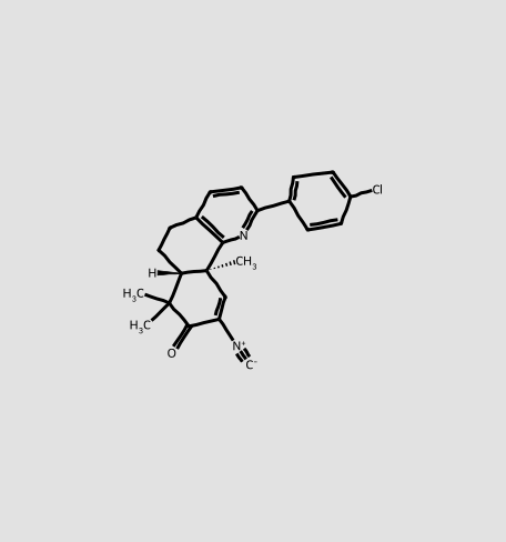 [C-]#[N+]C1=C[C@]2(C)c3nc(-c4ccc(Cl)cc4)ccc3CC[C@H]2C(C)(C)C1=O